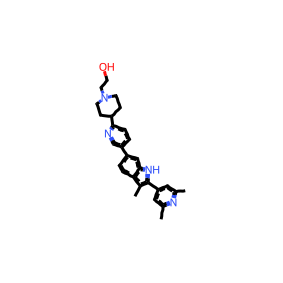 Cc1cc(-c2[nH]c3cc(-c4ccc(C5CCN(CCO)CC5)nc4)ccc3c2C)cc(C)n1